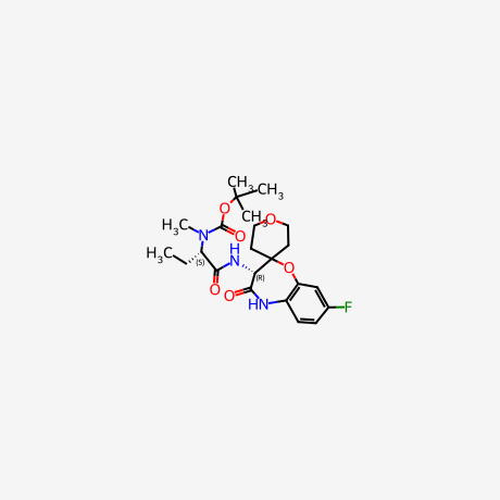 CC[C@@H](C(=O)N[C@H]1C(=O)Nc2ccc(F)cc2OC12CCOCC2)N(C)C(=O)OC(C)(C)C